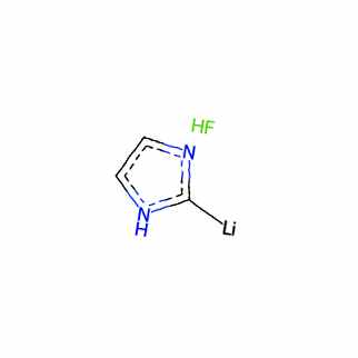 F.[Li][c]1ncc[nH]1